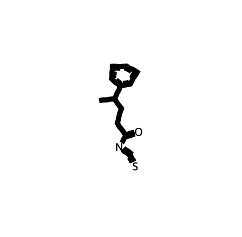 CC(CCC(=O)N=C=S)c1ccccc1